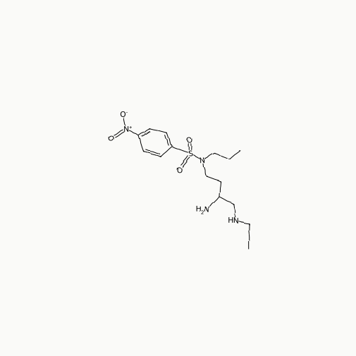 CCCN(CCC(N)CNCC)S(=O)(=O)c1ccc([N+](=O)[O-])cc1